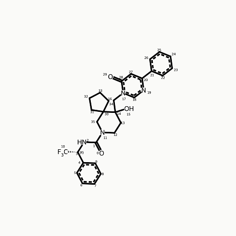 O=C(N[C@H](c1ccccc1)C(F)(F)F)N1CCC(O)(Cn2cnc(-c3ccccc3)cc2=O)C2(CCCC2)C1